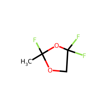 CC1(F)OCC(F)(F)O1